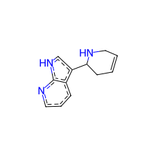 C1=CCC(c2c[nH]c3ncccc23)NC1